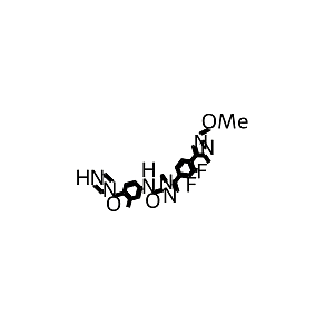 COCCn1cc(-c2ccc(-c3cnc(C(=O)Nc4ccc(C(=O)N5CCNCC5)c(C)c4)n3C)c(F)c2F)c(C)n1